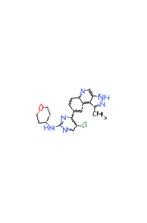 Cc1n[nH]c2cnc3ccc(-c4nc(NC5CCOCC5)ncc4Cl)cc3c12